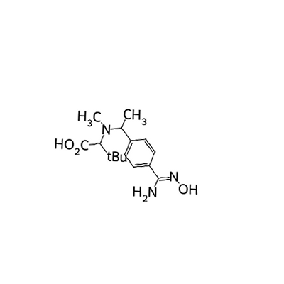 CC(c1ccc(C(N)=NO)cc1)N(C)C(C(=O)O)C(C)(C)C